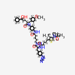 COc1ccc(C2C(CC[C@H](O)c3ccccc3)C(=O)N2c2ccc(NC(=O)CCCCNC(=O)C(Cc3ccc(N=[N+]=[N-])cc3)NC(=O)CCCCC3SCC(N(C)C(C)=O)C3C)cc2)cc1